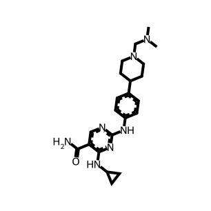 CN(C)CN1CCC(c2ccc(Nc3ncc(C(N)=O)c(NC4CC4)n3)cc2)CC1